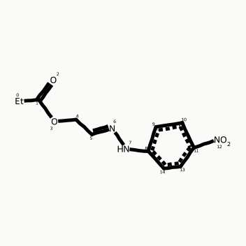 CCC(=O)OCC=NNc1ccc([N+](=O)[O-])cc1